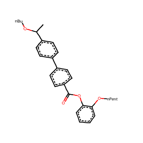 CCCCCOc1ccccc1OC(=O)c1ccc(-c2ccc(C(C)OCCCC)cc2)cc1